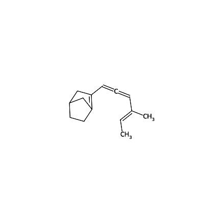 CC=C(C)C=C=CC1=C2CCC(C1)C2